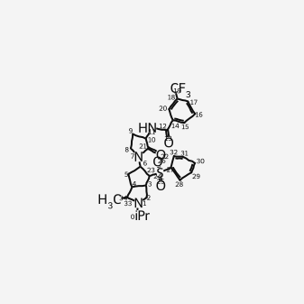 CC(C)N1CC2C(CC(N3CCC(NC(=O)c4cccc(C(F)(F)F)c4)C3=O)C2S(=O)(=O)c2ccccc2)C1C